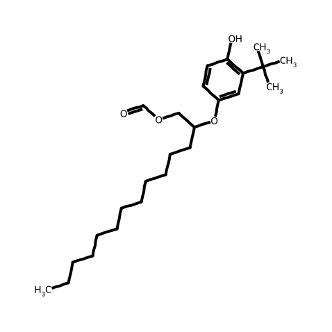 CCCCCCCCCCCCC(COC=O)Oc1ccc(O)c(C(C)(C)C)c1